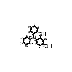 Oc1ccc([C](c2ccccc2)c2ccccc2)c(O)c1